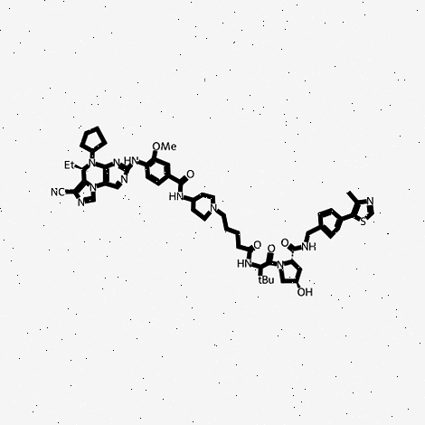 CC[C@@H]1c2c(C#N)ncn2-c2cnc(Nc3ccc(C(=O)NC4CCN(CCCCC(=O)NC(C(=O)N5C[C@H](O)C[C@H]5C(=O)NCc5ccc(-c6scnc6C)cc5)C(C)(C)C)CC4)cc3OC)nc2N1C1CCCC1